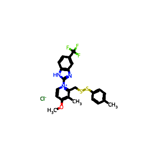 COc1cc[n+](-c2nc3cc(C(F)(F)F)ccc3[nH]2)c(CSSc2ccc(C)cc2)c1C.[Cl-]